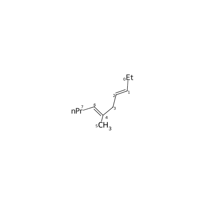 [CH2]CC=CCC(C)=CCCC